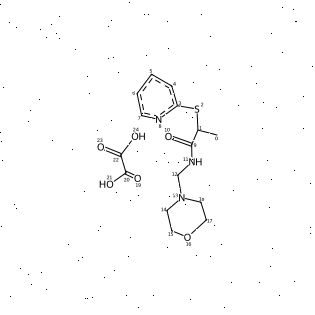 CC(Sc1ccccn1)C(=O)NCN1CCOCC1.O=C(O)C(=O)O